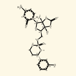 C[C@@]12OC(=O)O[C@@H]1[C@@H](COP1(=O)OCC[C@@H](c3cccc(Cl)c3)O1)O[C@H]2n1ccc(N)nc1=O